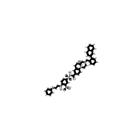 O=C(NS(=O)(=O)c1ccc(NCCSc2ccccc2)c([N+](=O)[O-])c1)c1ccc2c(c1)CC[C@H]1CN(Cc3ccccc3-c3ccc4ccccc4c3)CCN21